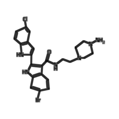 NN1CCN(CCNC(=O)c2c(-c3cc4cc(Cl)ccc4[nH]3)[nH]c3cc(Br)ccc23)CC1